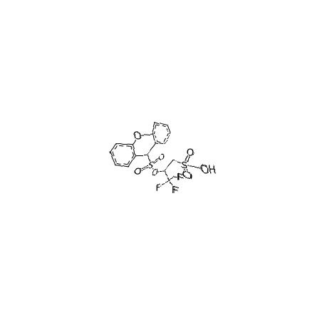 O=S(=O)(O)CC(OS(=O)(=O)C1c2ccccc2Oc2ccccc21)C(F)(F)F